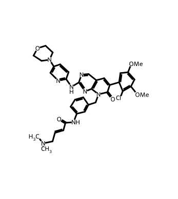 COc1cc(OC)c(Cl)c(-c2cc3cnc(Nc4ccc(N5CCOCC5)cn4)nc3n(Cc3cccc(NC(=O)/C=C/CN(C)C)c3)c2=O)c1